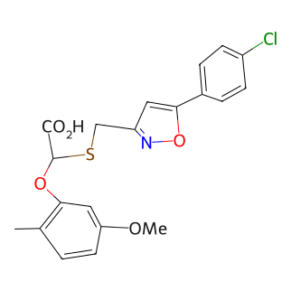 COc1ccc(C)c(OC(SCc2cc(-c3ccc(Cl)cc3)on2)C(=O)O)c1